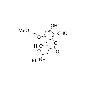 CCNC(=O)Cc1c(C)c2c(OCCOC)cc(O)c(C=O)c2oc1=O